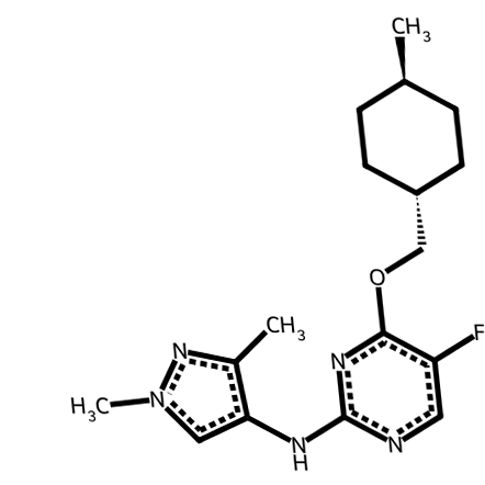 Cc1nn(C)cc1Nc1ncc(F)c(OC[C@H]2CC[C@H](C)CC2)n1